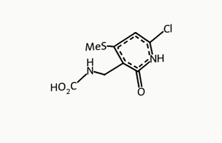 CSc1cc(Cl)[nH]c(=O)c1CNC(=O)O